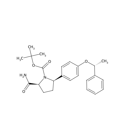 C[C@@H](Oc1ccc([C@H]2CC[C@@H](C(N)=O)N2C(=O)OC(C)(C)C)cc1)c1ccccc1